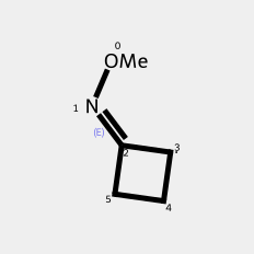 CO/N=C1\[CH]CC1